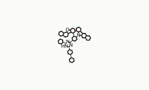 c1ccc(-c2ccc(C3=NC(c4ccc(-n5c6ccccc6c6cc7ccccc7cc65)c(-c5cccc6oc7c8ccccc8ccc7c56)c4)=NC(c4ccccc4)N3)cc2)cc1